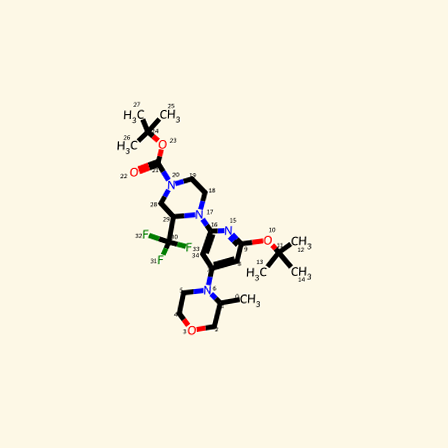 CC1COCCN1c1cc(OC(C)(C)C)nc(N2CCN(C(=O)OC(C)(C)C)CC2C(F)(F)F)c1